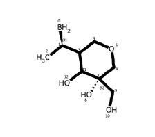 B[C@H](C)C1COC[C@@](O)(CO)C1O